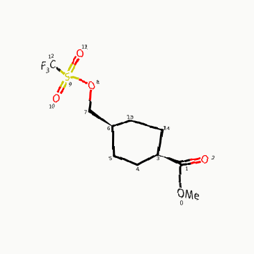 COC(=O)[C@H]1CC[C@@H](COS(=O)(=O)C(F)(F)F)CC1